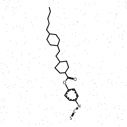 CCCCCC1CCC(CCC2CCC(C(=O)Oc3ccc(N=C=S)cc3)CC2)CC1